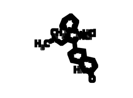 CN(C)Cc1c(-c2ccc3[nH]c(=O)ccc3c2)nc2ccccn12.Cl.Cl